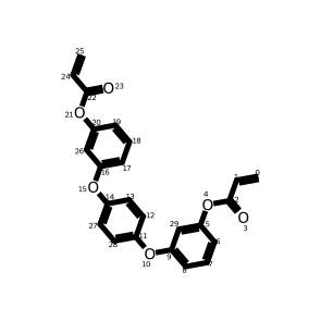 C=CC(=O)Oc1cccc(Oc2ccc(Oc3cccc(OC(=O)C=C)c3)cc2)c1